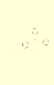 CCCCOCC(C)Oc1cccc2c1B(O)O[C@@H]2CN(Cc1ccccc1)Cc1ccccc1